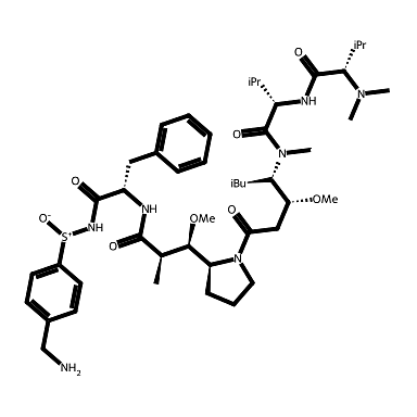 CC[C@H](C)[C@@H]([C@@H](CC(=O)N1CCC[C@H]1[C@H](OC)[C@@H](C)C(=O)N[C@@H](Cc1ccccc1)C(=O)N[S+]([O-])c1ccc(CN)cc1)OC)N(C)C(=O)[C@@H](NC(=O)[C@H](C(C)C)N(C)C)C(C)C